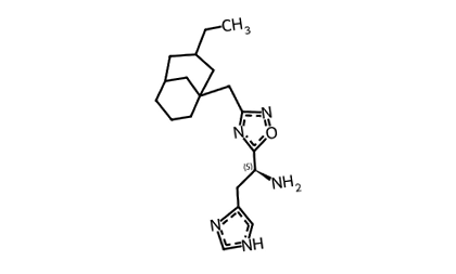 CCC1CC2CCCC(Cc3noc([C@@H](N)Cc4c[nH]cn4)n3)(C1)C2